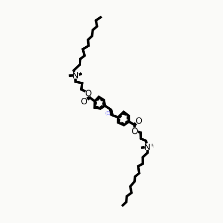 CCCCCCCCCCCC[N+](C)(C)CCCOC(=O)c1ccc(/C=C/c2ccc(C(=O)OCCC[N+](C)(C)CCCCCCCCCCCC)cc2)cc1